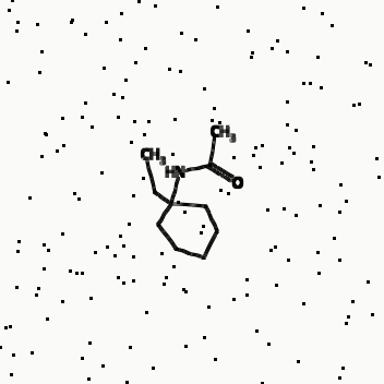 CCC1(NC(C)=O)CCCCC1